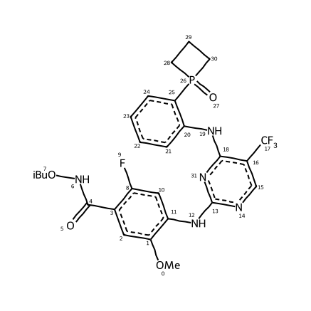 COc1cc(C(=O)NOCC(C)C)c(F)cc1Nc1ncc(C(F)(F)F)c(Nc2ccccc2P2(=O)CCC2)n1